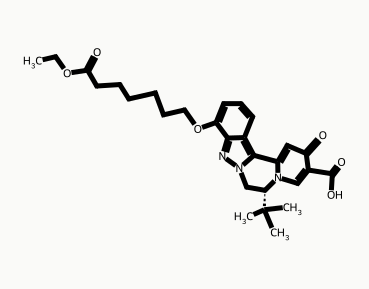 CCOC(=O)CCCCCCOc1cccc2c3n(nc12)C[C@@H](C(C)(C)C)n1cc(C(=O)O)c(=O)cc1-3